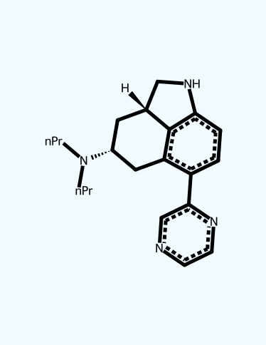 CCCN(CCC)[C@H]1Cc2c(-c3cnccn3)ccc3c2[C@@H](CN3)C1